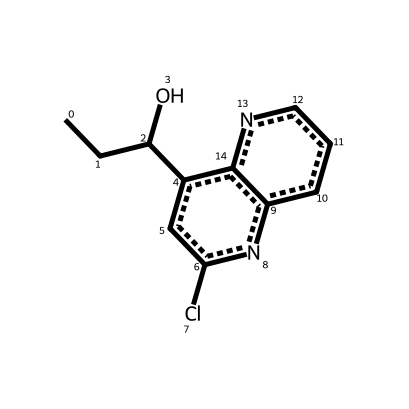 CCC(O)c1cc(Cl)nc2cccnc12